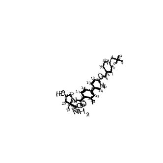 CC(C)(C)CN1CCC(COc2ccc(-c3ccc(C(=O)N4C[C@H](O)C[C@@]4(C)C(N)=O)c(F)c3)cn2)CC1